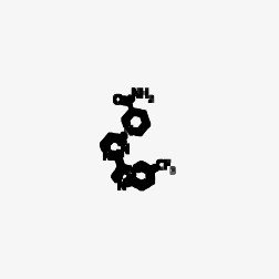 NC(=O)[C@H]1CCCN(c2ccnc(-c3cnc4ccc(C(F)(F)F)cn34)n2)C1